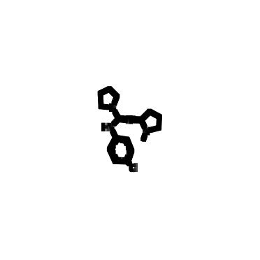 CN1CCCC1=[N+]=C(Nc1ccc(Cl)cc1)N1CCCC1